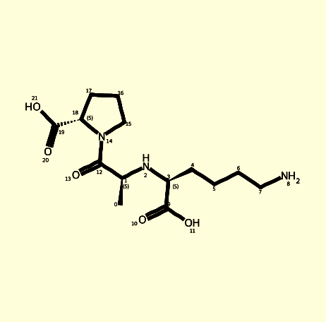 C[C@H](N[C@@H](CCCCN)C(=O)O)C(=O)N1CCC[C@H]1C(=O)O